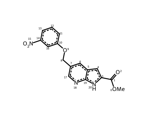 COC(=O)c1cc2cc(COc3cccc([N+](=O)[O-])c3)cnc2[nH]1